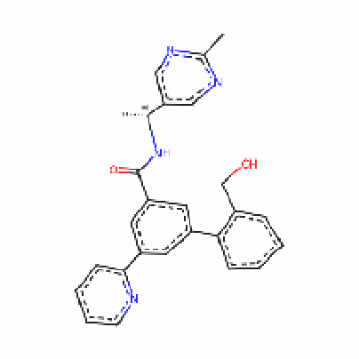 Cc1ncc([C@@H](C)NC(=O)c2cc(-c3ccccn3)cc(-c3ccccc3CO)c2)cn1